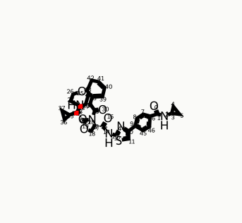 O=C(NC1CC1)c1ccc(-c2csc(NC(=O)[C@@H]3CO[C@H](CC4CCOCC4)N3C(=O)[C@H](NC(=O)C3CC3)C3=CC=CCC3)n2)cc1